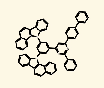 c1ccc(-c2ccc(-c3cc(-c4cc(-n5c6ccccc6c6ccc7ccccc7c65)cc(-n5c6ccccc6c6ccc7ccccc7c65)c4)nc(-c4ccccc4)n3)cc2)cc1